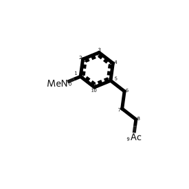 CNc1cccc(CCCC(C)=O)c1